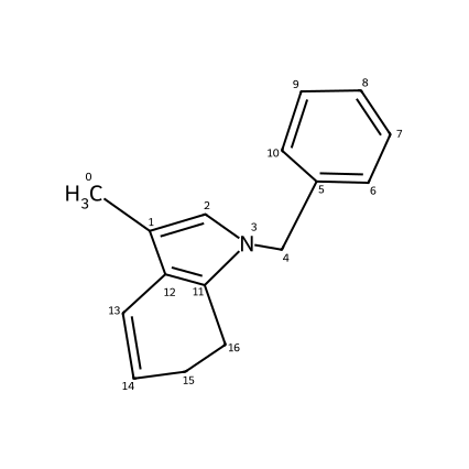 Cc1cn(Cc2ccccc2)c2c1C=CCC2